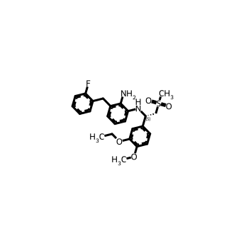 CCOc1cc([C@@H](CS(C)(=O)=O)Nc2cccc(Cc3ccccc3F)c2N)ccc1OC